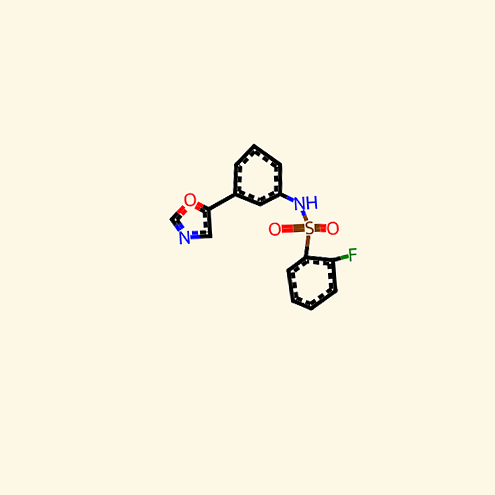 O=S(=O)(Nc1cccc(-c2cnco2)c1)c1ccccc1F